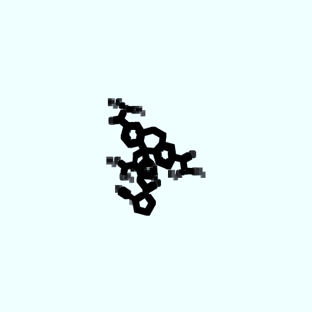 CC(C)[C@@H](CC1(c2nnn[nH]2)c2ccc(C(=O)N(C)C)cc2CCc2cc(C(=O)N(C)C)ccc21)NCC(=O)N1CCC[C@H]1C#N